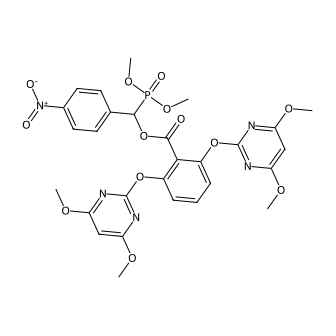 COc1cc(OC)nc(Oc2cccc(Oc3nc(OC)cc(OC)n3)c2C(=O)OC(c2ccc([N+](=O)[O-])cc2)P(=O)(OC)OC)n1